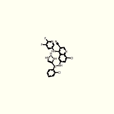 N#Cc1cnc2c(Cl)cc(N[C@H](C3=CNNN3)c3ccccc3Cl)cc2c1Nc1cnc(F)c(F)c1